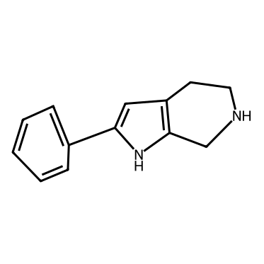 c1ccc(-c2cc3c([nH]2)CNCC3)cc1